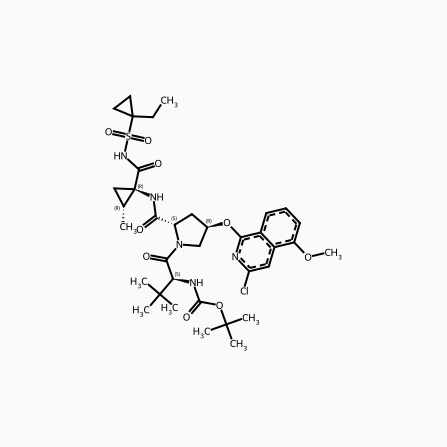 CCC1(S(=O)(=O)NC(=O)[C@@]2(NC(=O)[C@@H]3C[C@@H](Oc4nc(Cl)cc5c(OC)cccc45)CN3C(=O)[C@@H](NC(=O)OC(C)(C)C)C(C)(C)C)C[C@H]2C)CC1